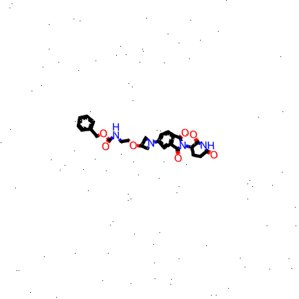 O=C1CCC(N2C(=O)c3ccc(N4CC(OCCNC(=O)OCc5ccccc5)C4)cc3C2=O)C(=O)N1